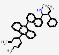 C=C/C=C(\C=C/CC)c1c2ccccc2c(-c2cccc3c(C(NC)/C(=C\C)c4ccccc4)cccc23)c2ccccc12